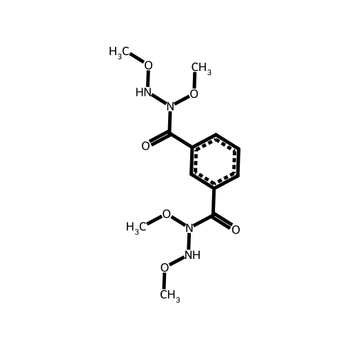 CONN(OC)C(=O)c1cccc(C(=O)N(NOC)OC)c1